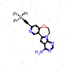 CC(C)[Si](C#Cc1cc2c(cn1)-c1cc3c(N)ncnc3n1CCO2)(C(C)C)C(C)C